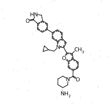 Cc1c(-c2cc3ccc(-c4ccc5c(c4)CNC5=O)cc3n2CC2CC2)oc2cc(C(=O)N3CCC[C@@H](N)C3)ccc12